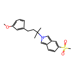 COc1cccc(CCC(C)(C)n2cc3ccc(S(C)(=O)=O)cc3c2)c1